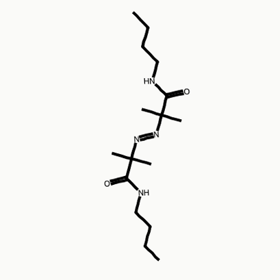 CCCCNC(=O)C(C)(C)N=NC(C)(C)C(=O)NCCCC